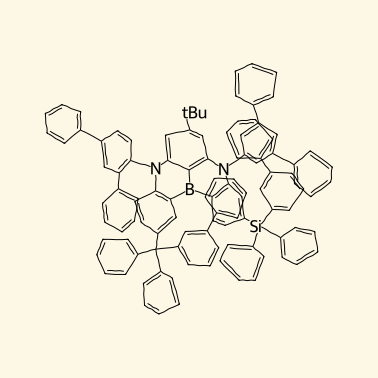 CC(C)(C)c1cc2c3c(c1)N(c1ccc(-c4ccccc4)cc1-c1ccccc1)c1ccc(C(c4ccccc4)(c4ccccc4)c4cccc(-c5ccccc5)c4)cc1B3c1ccc([Si](c3ccccc3)(c3ccccc3)c3cccc(-c4ccccc4)c3)cc1N2c1cc(-c2ccccc2)cc(-c2ccccc2)c1